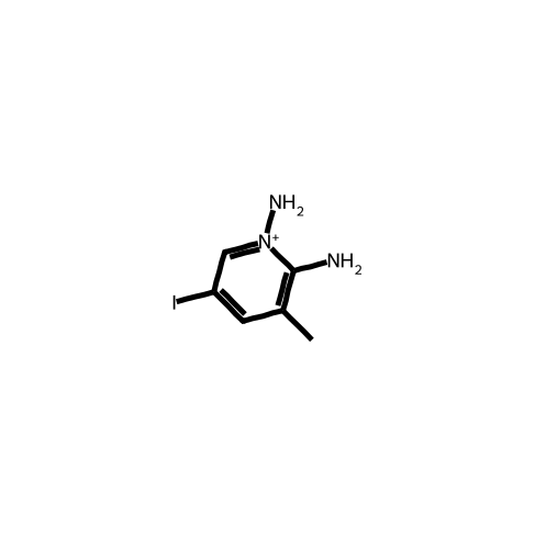 Cc1cc(I)c[n+](N)c1N